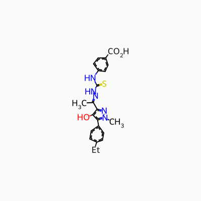 CCc1ccc(-c2c(O)c(/C(C)=N/NC(=S)Nc3ccc(C(=O)O)cc3)nn2C)cc1